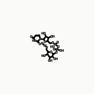 [N-]=[N+]=NCC1OC(OP(=O)(O)OP(=O)(O)OCC2OC(n3ccc(=O)[nH]c3=O)C(O)C2O)C(O)C(O)C1O